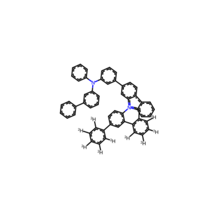 [2H]c1c([2H])c([2H])c(-c2ccc(-n3c4ccccc4c4ccc(-c5cccc(N(c6ccccc6)c6cccc(-c7ccccc7)c6)c5)cc43)c(-c3c([2H])c([2H])c([2H])c([2H])c3[2H])c2)c([2H])c1[2H]